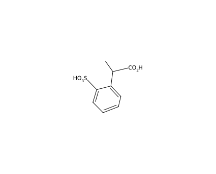 CC(C(=O)O)c1ccccc1S(=O)(=O)O